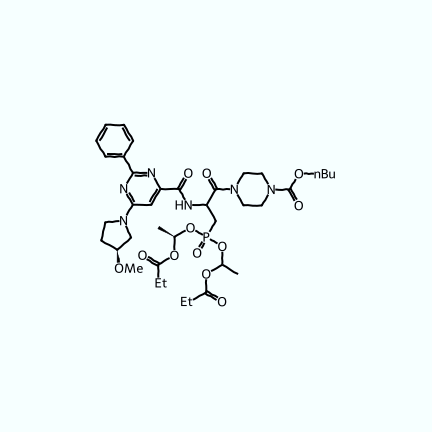 CCCCOC(=O)N1CCN(C(=O)C(CP(=O)(OC(C)OC(=O)CC)O[C@H](C)OC(=O)CC)NC(=O)c2cc(N3CC[C@H](OC)C3)nc(-c3ccccc3)n2)CC1